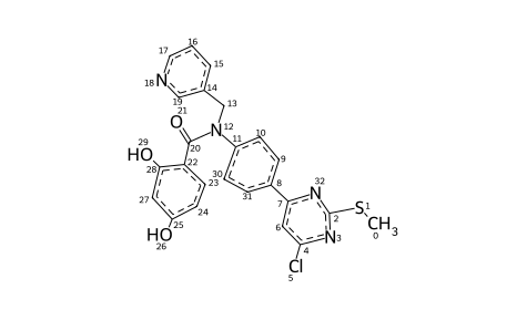 CSc1nc(Cl)cc(-c2ccc(N(Cc3cccnc3)C(=O)c3ccc(O)cc3O)cc2)n1